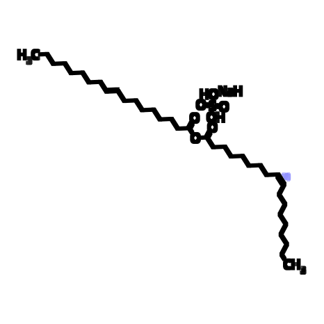 CCCCCCCCC=CCCCCCCCC(=O)OC(=O)CCCCCCC/C=C\CCCCCCCC.O=S(=O)(O)O.[NaH]